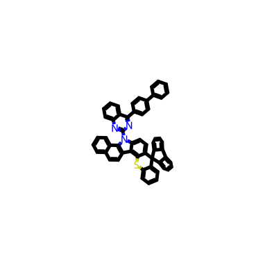 c1ccc(-c2ccc(-c3nc(-n4c5ccc6c(c5c5ccc7ccccc7c54)Sc4ccccc4C64c5ccccc5-c5ccccc54)nc4ccccc34)cc2)cc1